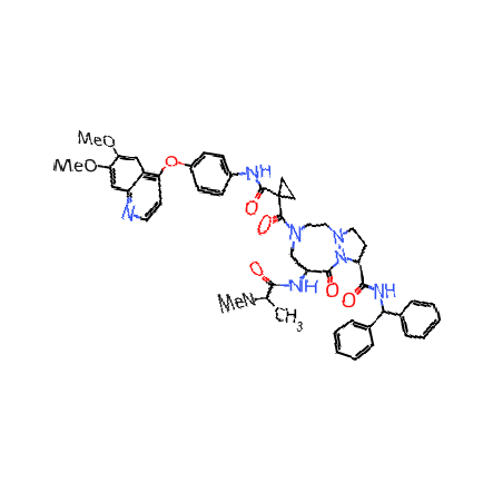 CN[C@H](C)C(=O)N[C@H]1CN(C(=O)C2(C(=O)Nc3ccc(Oc4ccnc5cc(OC)c(OC)cc45)cc3)CC2)CCN2CC[C@@H](C(=O)NC(c3ccccc3)c3ccccc3)N2C1=O